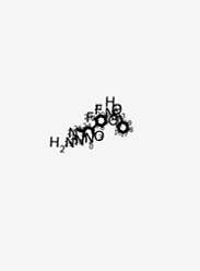 Cn1c(=O)c(-c2ccc(NS(=O)(=O)Cc3ccccc3)c(F)c2F)cc2cnc(N)nc21